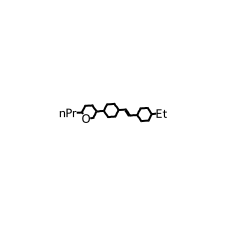 CCCC1CCC(C2CCC(/C=C/C3CCC(CC)CC3)CC2)CO1